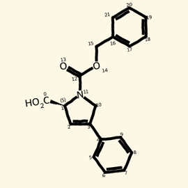 O=C(O)[C@@H]1C=C(c2ccccc2)CN1C(=O)OCc1ccccc1